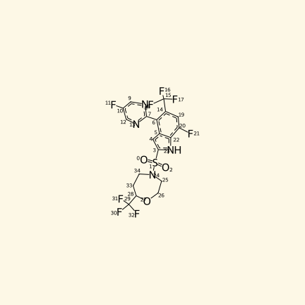 O=S(=O)(c1cc2c(-c3ncc(F)cn3)c(C(F)(F)F)cc(F)c2[nH]1)N1CCOC(C(F)(F)F)CC1